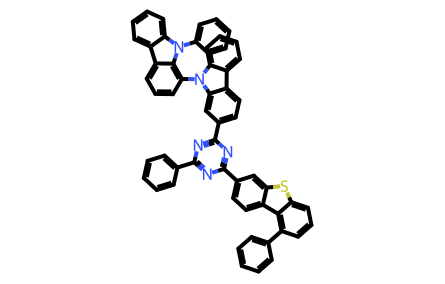 c1ccc(-c2nc(-c3ccc4c(c3)sc3cccc(-c5ccccc5)c34)nc(-c3ccc4c5ccccc5n(-c5cccc6c7ccccc7n(-c7ccccc7)c56)c4c3)n2)cc1